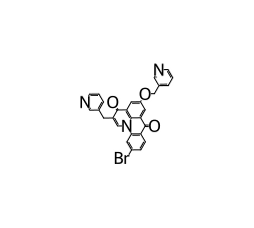 O=c1c(Cc2cccnc2)cn2c3cc(Br)ccc3c(=O)c3cc(OCc4cccnc4)cc1c32